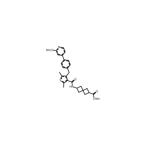 COC(=O)C1CC2(CC(NC(=O)c3c(C)sc(C)c3Cc3ccc(-c4ccnc(OC)c4)cc3)C2)C1